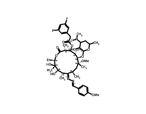 CC[C@H]1OC(=O)[C@H](C)[C@@H](OC(=O)Cc2cc(F)cc(F)c2)[C@H](C)[C@@H](OC2OC(C)CC(N(C)C)C2O)[C@](C)(OC)C[C@@H](C)/C(=N\N=C\c2ccc(OC)cc2)[C@H](C)[C@@H](O)[C@]1(C)O